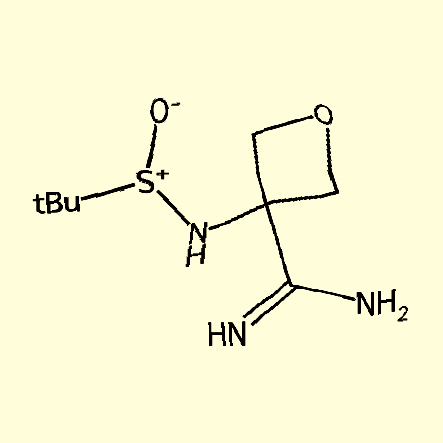 CC(C)(C)[S+]([O-])NC1(C(=N)N)COC1